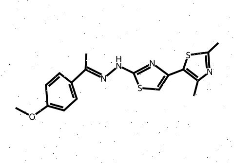 COc1ccc(/C(C)=N/Nc2nc(-c3sc(C)nc3C)cs2)cc1